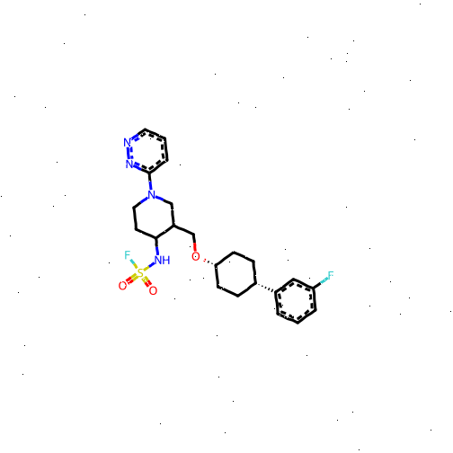 O=S(=O)(F)NC1CCN(c2cccnn2)CC1CO[C@H]1CC[C@@H](c2cccc(F)c2)CC1